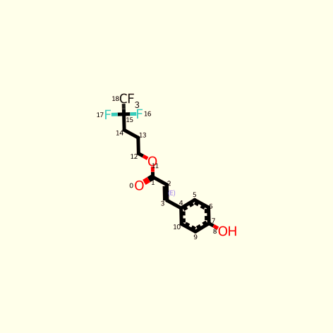 O=C(/C=C/c1ccc(O)cc1)OCCCC(F)(F)C(F)(F)F